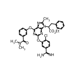 CCOC(=O)C(Cc1ccccc1)n1c(C)nc2c(Oc3cccc(C(=O)N(C)C)c3)nc(Oc3cc(C(=N)N)ccc3Cl)nc21